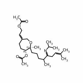 CC(=O)OCC=C1CC[C@@H](OC(C)=O)[C@](C)(CCCC(C)C(CC=C(C)C)=NC(C)C)OC1